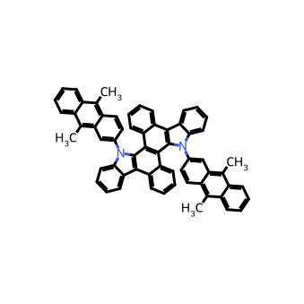 Cc1c2ccccc2c(C)c2cc(-n3c4ccccc4c4c5ccccc5c5c(c6ccccc6c6c7ccccc7n(-c7ccc8c(C)c9ccccc9c(C)c8c7)c65)c43)ccc12